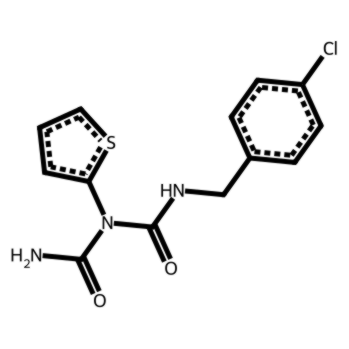 NC(=O)N(C(=O)NCc1ccc(Cl)cc1)c1cccs1